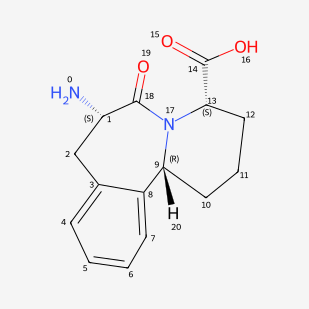 N[C@H]1Cc2ccccc2[C@H]2CCC[C@@H](C(=O)O)N2C1=O